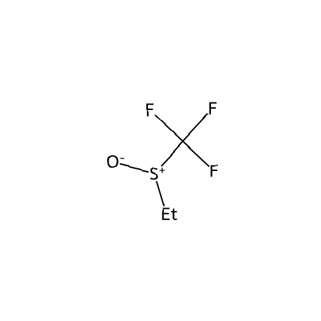 CC[S+]([O-])C(F)(F)F